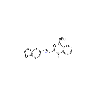 CCCCOc1ccccc1NC(=O)/C=C/c1ccc2occc2c1